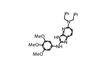 COc1cc(Nc2nc3ccc(N(CC(C)C)CC(C)C)nc3[nH]2)cc(OC)c1OC